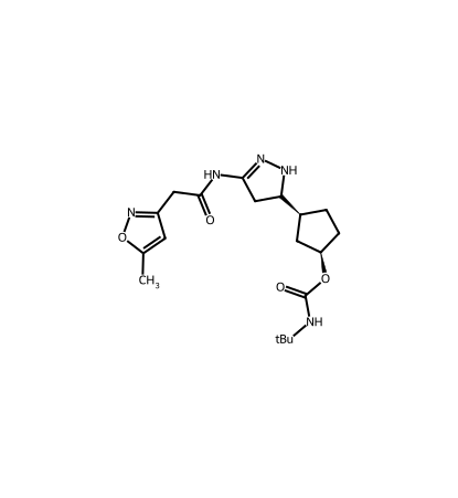 Cc1cc(CC(=O)NC2=NNC([C@H]3CC[C@@H](OC(=O)NC(C)(C)C)C3)C2)no1